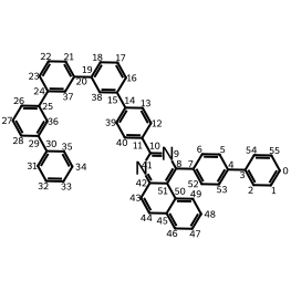 c1ccc(-c2ccc(-c3nc(-c4ccc(-c5cccc(-c6cccc(-c7cccc(-c8ccccc8)c7)c6)c5)cc4)nc4ccc5ccccc5c34)cc2)cc1